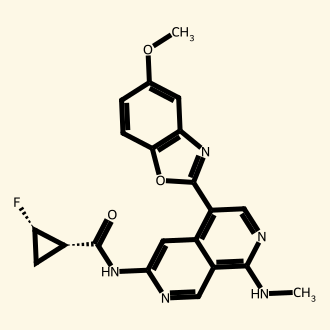 CNc1ncc(-c2nc3cc(OC)ccc3o2)c2cc(NC(=O)[C@@H]3C[C@@H]3F)ncc12